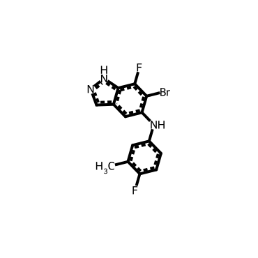 Cc1cc(Nc2cc3cn[nH]c3c(F)c2Br)ccc1F